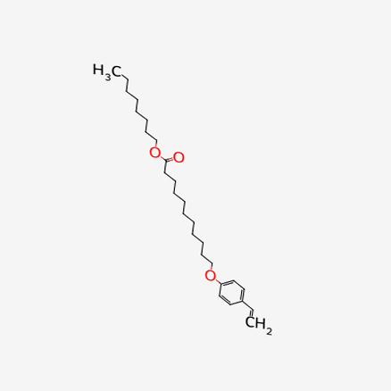 C=Cc1ccc(OCCCCCCCCCCC(=O)OCCCCCCCC)cc1